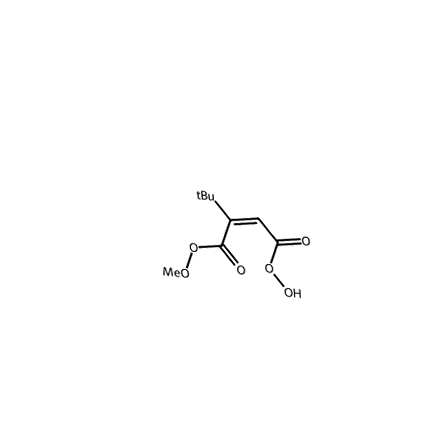 COOC(=O)/C(=C\C(=O)OO)C(C)(C)C